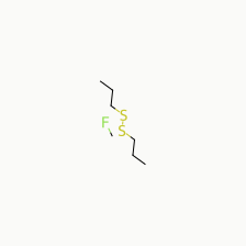 CCCSSCCC.CF